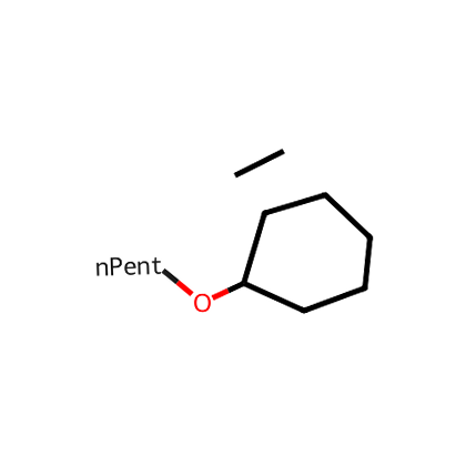 CC.CCCCCOC1CCCCC1